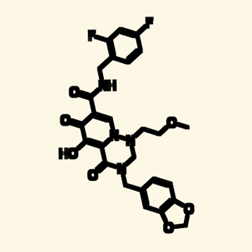 COCCN1CN(Cc2ccc3c(c2)OCO3)C(=O)c2c(O)c(=O)c(C(=O)NCc3ccc(F)cc3F)cn21